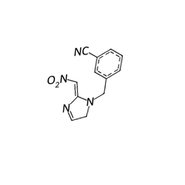 N#Cc1cccc(CN2CC=NC2=C[N+](=O)[O-])c1